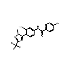 Cn1nc(C(F)(F)F)cc1-c1ccc(NC(=O)c2ccc(Br)cc2)nc1N